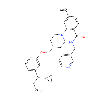 COc1ccc(C(=O)NCc2cccnc2)c(N2CCC(COc3cccc(C(CC(=O)O)C4CC4)c3)CC2)c1